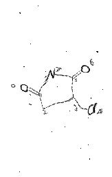 O=C1CC(Cl)C(=O)[N]1